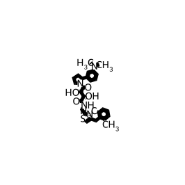 Cc1cccc(C)c1Cc1csc(CNC(=O)[C@H](O)[C@@H](O)C(=O)N2CCCC2c2cccc(N(C)C)c2)n1